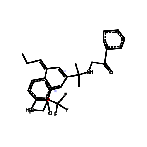 CCC=C(/C=C(\C=C(/C)C(O)(CN)C(F)(F)F)C(C)(C)NCC(=O)c1ccccc1)c1ccc(F)c(Cl)c1